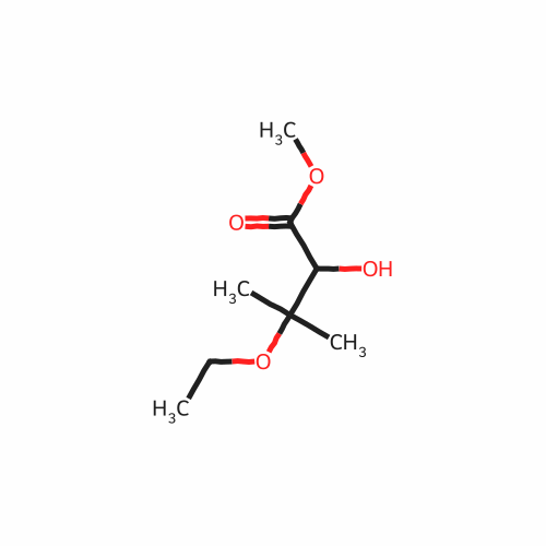 CCOC(C)(C)C(O)C(=O)OC